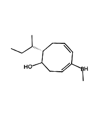 CB/C1=C/CC(O)[C@H](C(C)CC)CC=C1